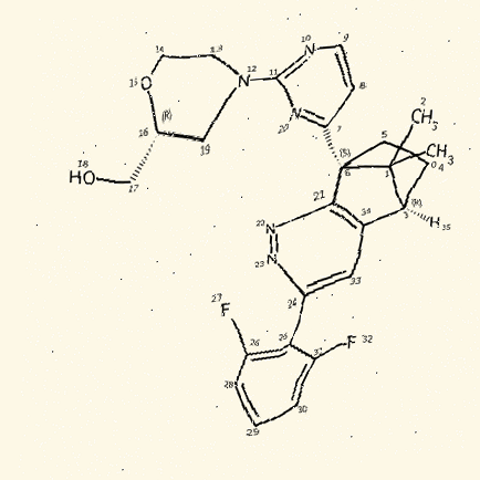 CC1(C)[C@H]2CC[C@]1(c1ccnc(N3CCO[C@@H](CO)C3)n1)c1nnc(-c3c(F)cccc3F)cc12